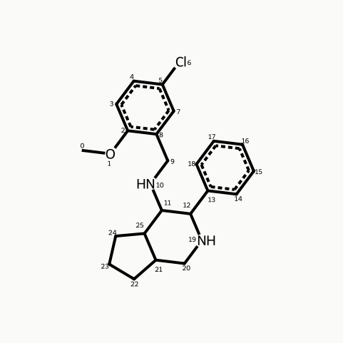 COc1ccc(Cl)cc1CNC1C(c2ccccc2)NCC2CCCC21